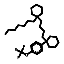 CCCCCCCC1(CCCCC2(c3ccc(OC(F)(F)F)cc3)CCCCC2)CCCCC1